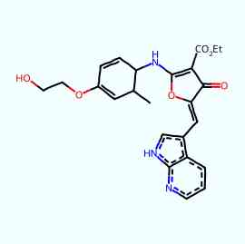 CCOC(=O)C1=C(NC2C=CC(OCCO)=CC2C)O/C(=C\c2c[nH]c3ncccc23)C1=O